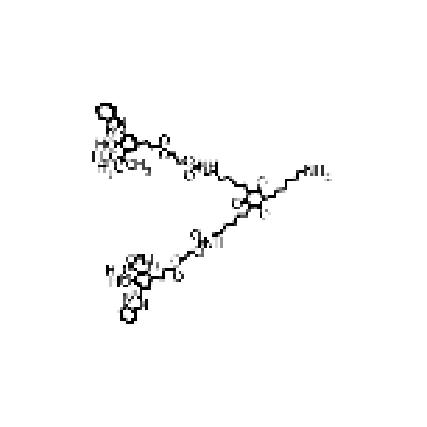 CC(C)(C)c1cc(CCC(=O)OCCOC(=O)NCCCCCCC2C(=O)C(CCCCCCN)C(=O)C(CCCCCCNC(=O)OCCOC(=O)CCc3cc(-n4nc5ccccc5n4)c(O)c(C(C)(C)C)c3)C2=O)cc(-n2nc3ccccc3n2)c1O